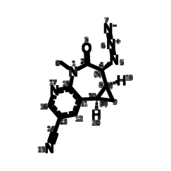 CN1C(=O)[C@@H](N=[N+]=[N-])[C@H]2C[C@H]2c2cc(C#N)cnc21